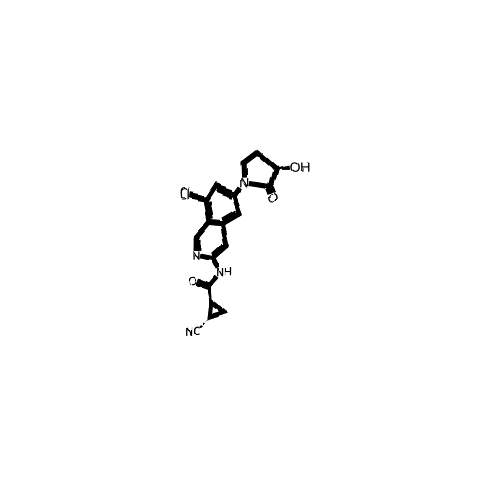 N#C[C@H]1C[C@@H]1C(=O)Nc1cc2cc(N3CC[C@@H](O)C3=O)cc(Cl)c2cn1